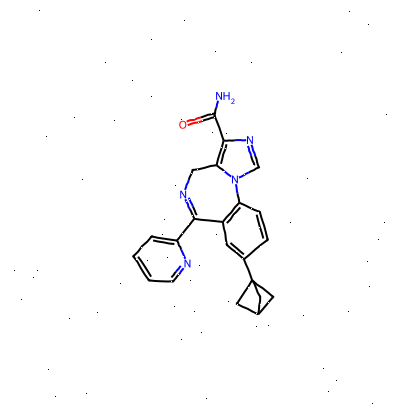 NC(=O)c1ncn2c1CN=C(c1ccccn1)c1cc(C34CC(C3)C4)ccc1-2